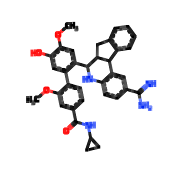 COc1cc(C2Nc3ccc(C(=N)N)cc3C3c4ccccc4CC23)c(-c2ccc(C(=O)NC3CC3)cc2OC)cc1O